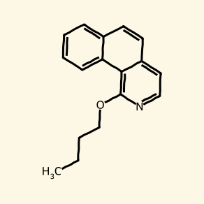 CCCCOc1nccc2ccc3ccccc3c12